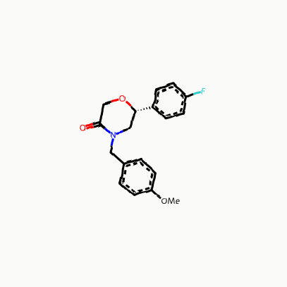 COc1ccc(CN2C[C@@H](c3ccc(F)cc3)OCC2=O)cc1